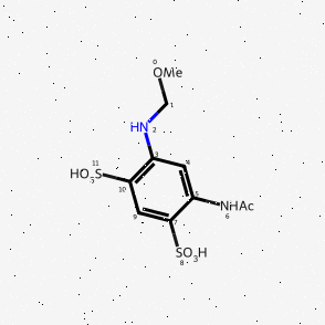 COCNc1cc(NC(C)=O)c(S(=O)(=O)O)cc1S(=O)(=O)O